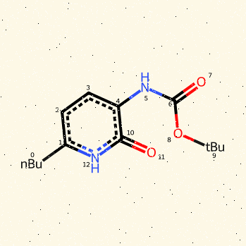 CCCCc1ccc(NC(=O)OC(C)(C)C)c(=O)[nH]1